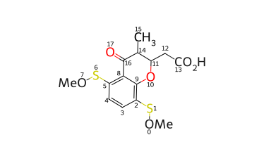 COSc1ccc(SOC)c2c1OC(CC(=O)O)C(C)C2=O